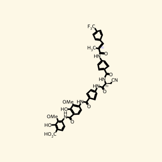 COc1c(NC(=O)c2ccc(NC(=O)c3ccc(NC(=O)[C@H](CC#N)NC(=O)c4ccc(NC(=O)/C(C)=C/c5ccc(C(F)(F)F)cc5)cc4)cc3)c(OC)c2O)ccc(C(=O)O)c1O